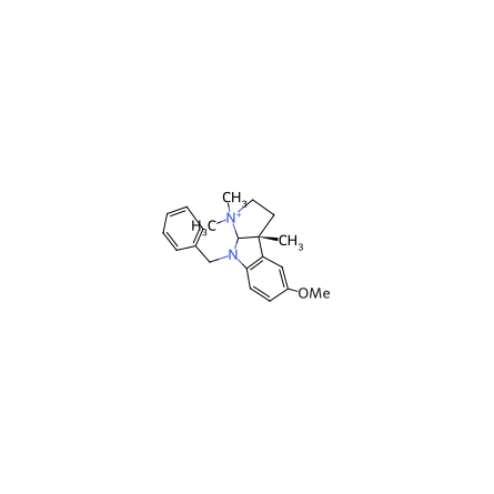 COc1ccc2c(c1)[C@@]1(C)CC[N+](C)(C)C1N2Cc1ccccc1